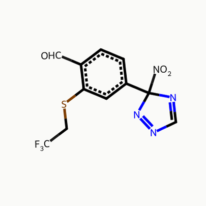 O=Cc1ccc(C2([N+](=O)[O-])N=CN=N2)cc1SCC(F)(F)F